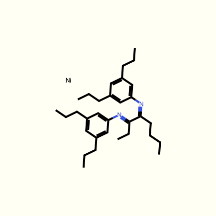 CCCCC(=Nc1cc(CCC)cc(CCC)c1)C(CC)=Nc1cc(CCC)cc(CCC)c1.[Ni]